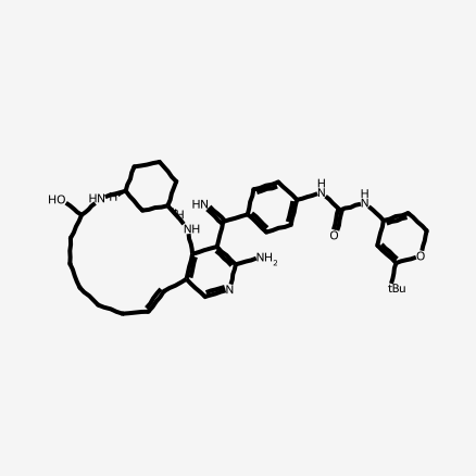 CC(C)(C)C1=CC(NC(=O)Nc2ccc(C(=N)c3c(N)ncc4c3N[C@@H]3CCC[C@H](C3)NC(O)CCCCC/C=C/4)cc2)=CCO1